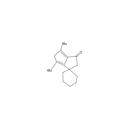 CC(C)(C)C1=C2C(=O)CC3(CCCCC3)C2=C(C(C)(C)C)C1